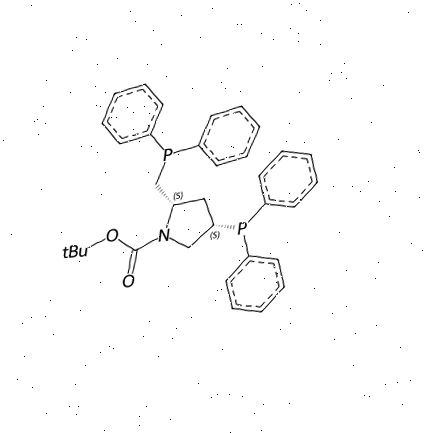 CC(C)(C)OC(=O)N1C[C@@H](P(c2ccccc2)c2ccccc2)C[C@H]1CP(c1ccccc1)c1ccccc1